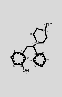 CCCN1CCN(C(Cc2cccc(O)c2)c2ccccc2)CC1